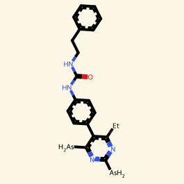 CCc1nc([AsH2])nc([AsH2])c1-c1ccc(NC(=O)NCCc2ccccc2)cc1